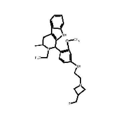 CC1Cc2c([nH]c3ccccc23)C(c2ccc(NCCN3CC(CF)C3)cc2OC(F)(F)F)N1CC(F)(F)F